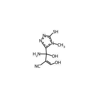 Cn1c(S)nnc1C(N)(O)/C(C#N)=C\O